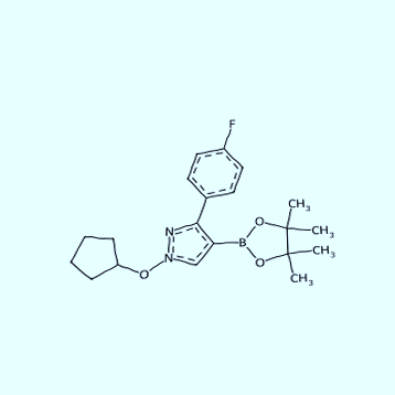 CC1(C)OB(c2cn(OC3CCCC3)nc2-c2ccc(F)cc2)OC1(C)C